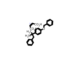 CC(N)(Cc1ccccc1)c1ccc(OCc2ccccc2)cc1.O=C(O)/C=C\C(=O)O